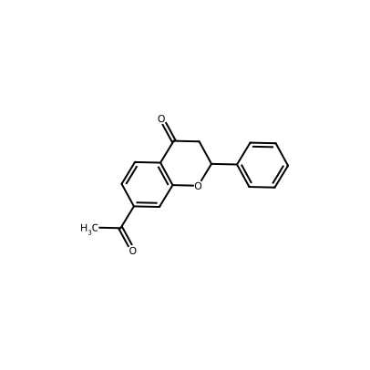 CC(=O)c1ccc2c(c1)OC(c1ccccc1)CC2=O